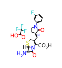 N[C@@H]1C(=O)N2C(C(=O)O)=C(/C=C3\CCN(c4cccc(F)c4)C3=O)CS[C@H]12.O=C(O)C(F)(F)F